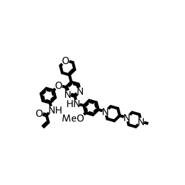 C=CC(=O)Nc1cccc(Oc2nc(Nc3ccc(N4CCC(N5CCN(C)CC5)CC4)cc3OC)ncc2C2=CCOCC2)c1